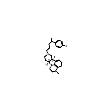 CC(CCCN1CC[C@H]2[C@@H](C1)C1=CCCC3=C1N2CCN3C)c1ccc(F)cc1